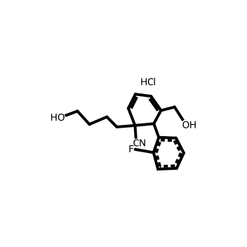 Cl.N#CC1(CCCCO)C=CC=C(CO)C1c1ccccc1F